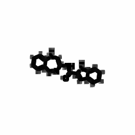 O=C(NC1=CNc2ccccc2C=N1)c1cc2ccccc2[nH]1